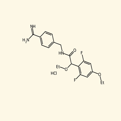 CCOc1cc(F)c(C(OCC)C(=O)NCc2ccc(C(=N)N)cc2)c(F)c1.Cl